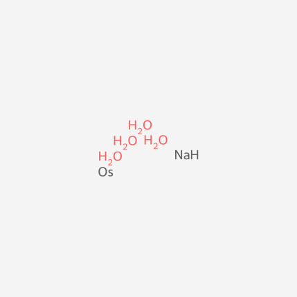 O.O.O.O.[NaH].[Os]